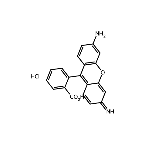 Cl.N=c1ccc2c(-c3ccccc3C(=O)O)c3ccc(N)cc3oc-2c1